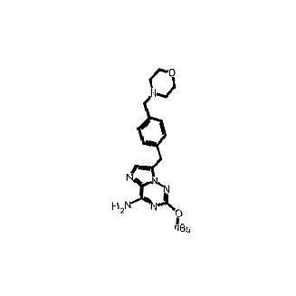 CCCCOc1nc(N)c2ncc(Cc3ccc(CN4CCOCC4)cc3)n2n1